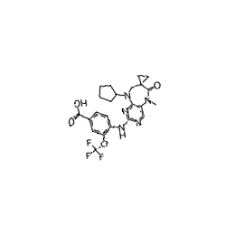 CN1C(=O)C2(CC2)CN(C2CCCC2)c2nc(Nc3ccc(C(=O)O)cc3OC(F)(F)F)ncc21